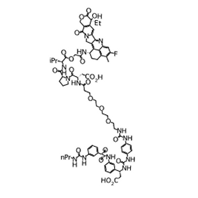 CCCNC(=O)Nc1cccc(S(=O)(=O)Nc2cccc([C@H](CC(=O)O)NC(=O)Nc3ccc(NC(=O)NCCOCCOCCOCCC(=O)N[C@@H](CC(=O)O)C(=O)N4CCC[C@H]4C(=O)N[C@H](C(=O)OCC(=O)N[C@H]4CCc5c(C)c(F)cc6nc7c(c4c56)Cn4c-7cc5c(c4=O)COC(=O)[C@]5(O)CC)C(C)C)cc3)c2)c1